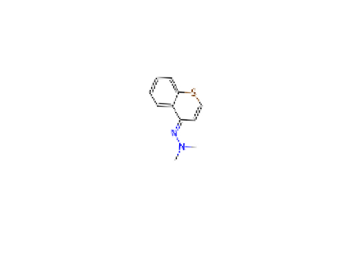 CN(C)/N=c1\ccsc2ccccc12